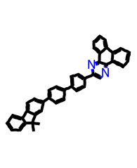 CC1(C)c2ccccc2-c2ccc(-c3ccc(-c4ccc(-c5cnc6c7ccccc7c7ccccc7c6n5)cc4)cc3)cc21